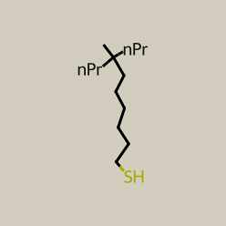 CCCC(C)(CCC)CCCCCCS